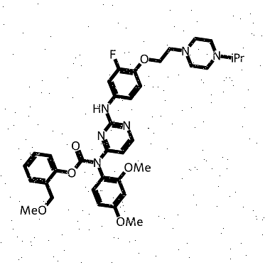 COCc1ccccc1OC(=O)N(c1ccnc(Nc2ccc(OCCN3CCN(C(C)C)CC3)c(F)c2)n1)c1ccc(OC)cc1OC